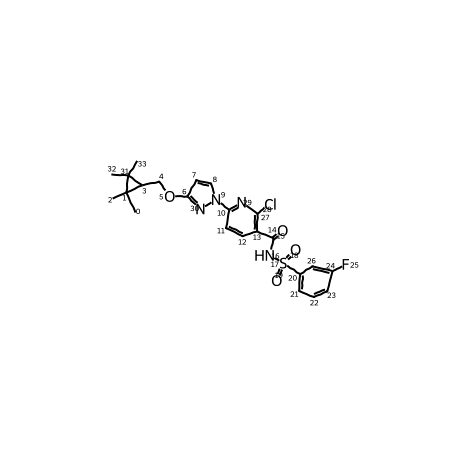 CC1(C)C(COc2ccn(-c3ccc(C(=O)NS(=O)(=O)c4cccc(F)c4)c(Cl)n3)n2)C1(C)C